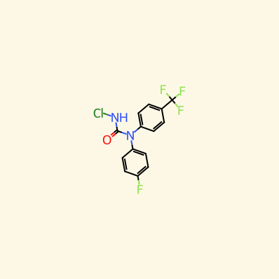 O=C(NCl)N(c1ccc(F)cc1)c1ccc(C(F)(F)F)cc1